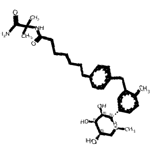 Cc1ccc([C@H]2[C@H](O)[C@H](O)[C@H](O)C[SH]2C)cc1Cc1ccc(CCCCCCC(=O)NC(C)(C)C(N)=O)cc1